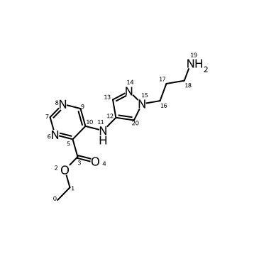 CCOC(=O)c1ncncc1Nc1cnn(CCCN)c1